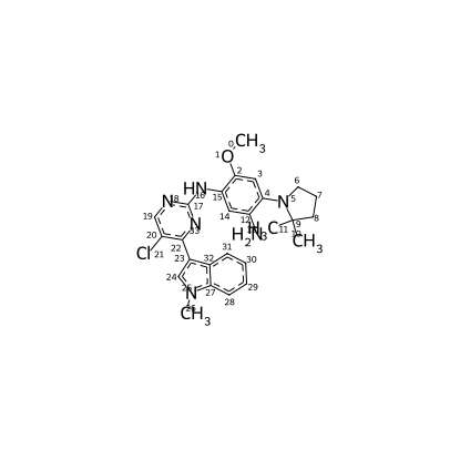 COc1cc(N2CCCC2(C)C)c(N)cc1Nc1ncc(Cl)c(-c2cn(C)c3ccccc23)n1